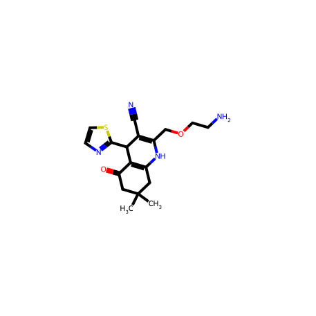 CC1(C)CC(=O)C2=C(C1)NC(COCCN)=C(C#N)C2c1nccs1